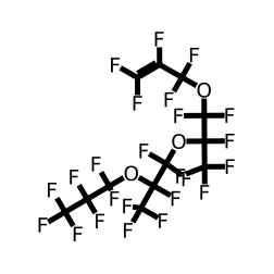 FC(F)=C(F)C(F)(F)OC(F)(F)C(F)(OC(F)(F)C(F)(OC(F)(F)C(F)(F)C(F)(F)F)C(F)(F)F)C(F)(F)F